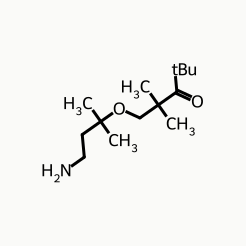 CC(C)(CCN)OCC(C)(C)C(=O)C(C)(C)C